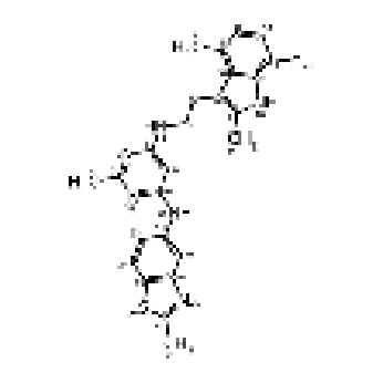 Cc1nc(NCCc2c(C)[nH]c3c(F)ccc(C)c23)cc(Nc2ccc3sc(C)nc3c2)n1